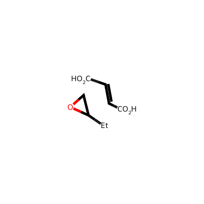 CCC1CO1.O=C(O)C=CC(=O)O